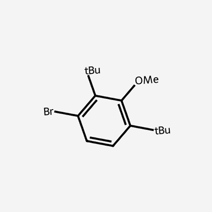 COc1c(C(C)(C)C)ccc(Br)c1C(C)(C)C